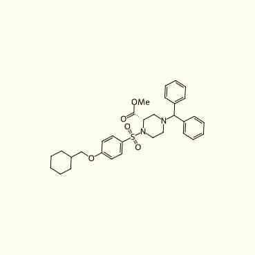 COC(=O)[C@@H]1CN(C(c2ccccc2)c2ccccc2)CCN1S(=O)(=O)c1ccc(OCC2CCCCC2)cc1